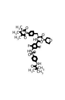 Cc1c(C)n(C)c(=O)n(-c2ccc(C[C@H](NC(=O)c3cc(F)c(NS(=O)(=O)c4ccc(NC(=O)C(C)(C)C)cc4)cc3F)C(=O)OC3CCOCC3)cc2)c1=O